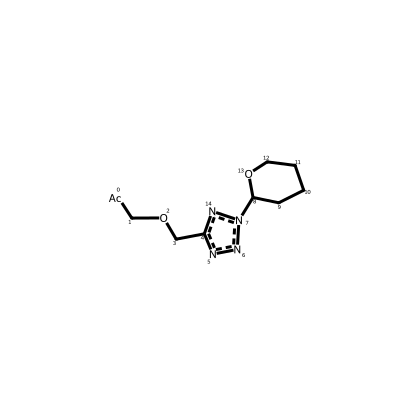 CC(=O)COCc1nnn(C2CCCCO2)n1